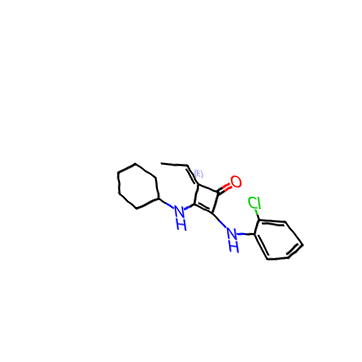 C/C=C1/C(=O)C(Nc2ccccc2Cl)=C1NC1CCCCC1